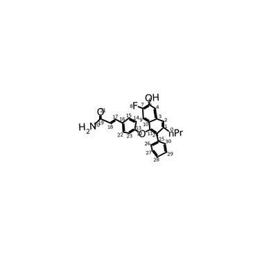 CCCc1cc2cc(O)c(F)cc2c(Oc2ccc(/C=C/C(N)=O)cc2)c1-c1ccccc1